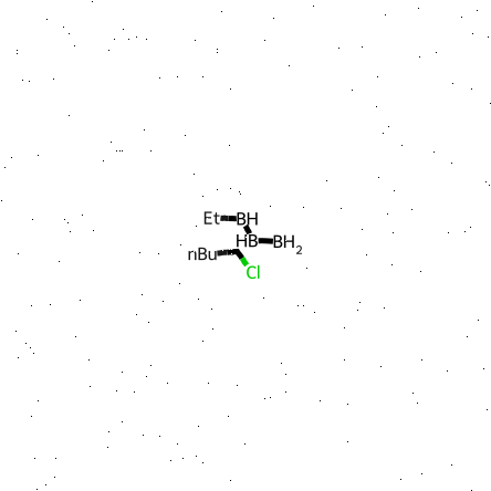 BBBCC.CCCCCCl